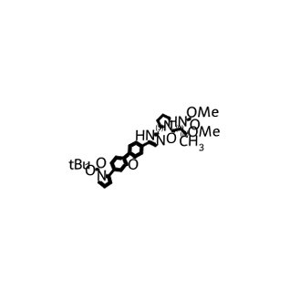 COC(=O)N[C@H](C(=O)N1CCC[C@H]1c1ncc(-c2ccc3c(c2)oc2cc(-c4cccn4C(=O)OC(C)(C)C)ccc23)[nH]1)[C@@H](C)OC